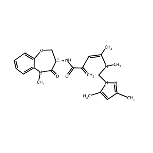 C=C(/C=C(/C)N(C)Cn1nc(C)cc1C)C(=O)N[C@H]1COc2ccccc2N(C)C1=O